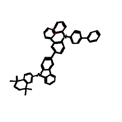 CC1(C)CCC(C)(C)c2cc(-n3c4ccccc4c4cc(-c5ccc(N(c6ccccc6)c6ccc(-c7ccccc7)cc6)c(-c6ccccc6)c5)ccc43)ccc21